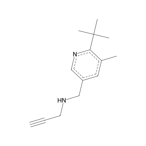 C#CCNCc1cnc(C(C)(C)C)c(C)c1